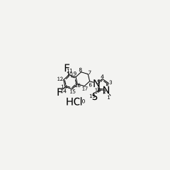 Cl.Cn1ccn(C2CCc3c(F)cc(F)cc3C2)c1=S